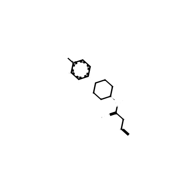 C=CCC(=O)O[C@H]1CC[C@H](c2ccc(Br)cc2)CC1